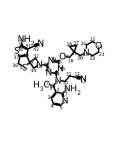 C[C@H](c1cccnc1N)N(CCC#N)c1nc(OCC2(CN3CCOCC3)CC2)nc(N2CC3(C2)SCc2sc(N)c(C#N)c23)n1